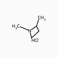 CC1CCN1C.Cl